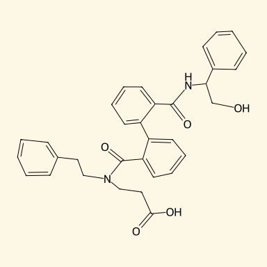 O=C(O)CCN(CCc1ccccc1)C(=O)c1ccccc1-c1ccccc1C(=O)NC(CO)c1ccccc1